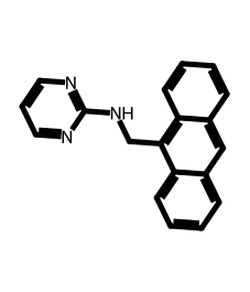 c1cnc(NCc2c3ccccc3cc3ccccc23)nc1